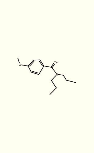 CCCN(CCC)C(=[Te])c1ccc(OC)cc1